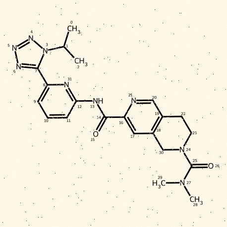 CC(C)n1nnnc1-c1cccc(NC(=O)c2cc3c(cn2)CCN(C(=O)N(C)C)C3)n1